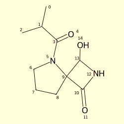 CC(C)C(=O)N1CCCC12C(=O)NC2O